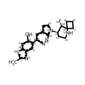 Cc1nc2cc(-c3cc4ccn([C@@H]5CCNC6(CCC6)[C@@H]5F)c4nn3)c(O)cc2s1